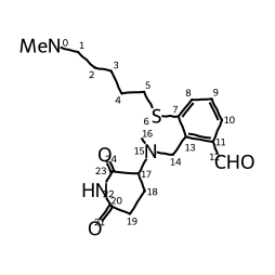 CNCCCCCSc1cccc(C=O)c1CN(C)C1CCC(=O)NC1=O